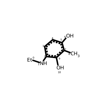 CCNc1ccc(O)c(C)c1O